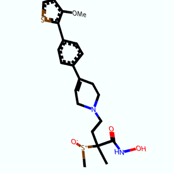 COc1ccsc1-c1ccc(C2=CCN(CCC(C)(C(=O)NO)[S+](C)[O-])CC2)cc1